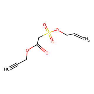 C#CCOC(=O)CS(=O)(=O)OCC=C